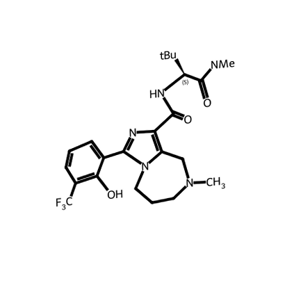 CNC(=O)[C@@H](NC(=O)c1nc(-c2cccc(C(F)(F)F)c2O)n2c1CN(C)CCC2)C(C)(C)C